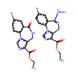 CCOC(=O)c1ncn2c1CN=C(NN)c1cc(Br)ccc1-2.CCOC(=O)c1ncn2c1CNC(=O)c1cc(Br)ccc1-2